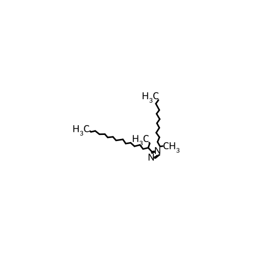 CCCCCCCCCCCCCCC(CC)c1nccn1C(C)CCCCCCCCCCC